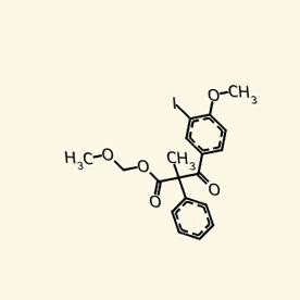 COCOC(=O)C(C)(C(=O)c1ccc(OC)c(I)c1)c1ccccc1